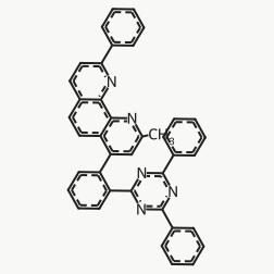 Cc1cc(-c2ccccc2-c2nc(-c3ccccc3)nc(-c3ccccc3)n2)c2ccc3ccc(-c4ccccc4)nc3c2n1